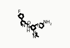 Cc1cn(-c2cc(CN3CCC[C@H](N)C3)cc(NC(=O)c3cc(-c4ccc(F)cc4)ccn3)c2)cn1